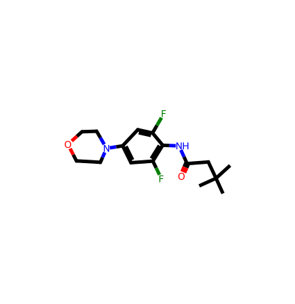 CC(C)(C)CC(=O)Nc1c(F)cc(N2CCOCC2)cc1F